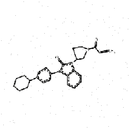 C=CC(=O)N1CCC(n2c(=O)n(-c3ccc(C4CCCCC4)cc3)c3ccccc32)C1